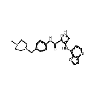 CN1CCN(Cc2ccc(NC(=O)c3n[nH]cc3Nc3ccnc4ccoc34)cc2)CC1